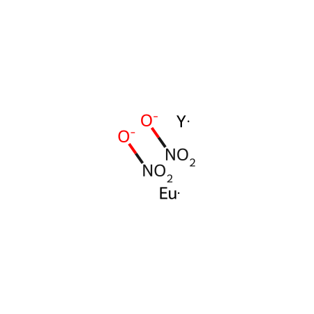 O=[N+]([O-])[O-].O=[N+]([O-])[O-].[Eu].[Y]